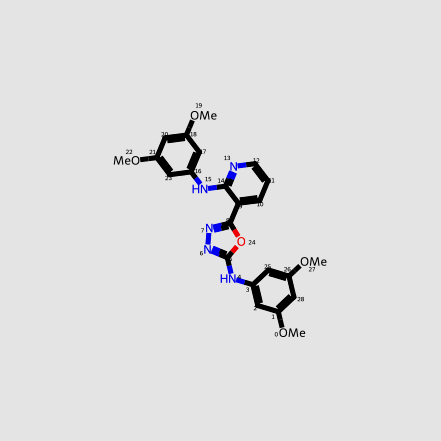 COc1cc(Nc2nnc(-c3cccnc3Nc3cc(OC)cc(OC)c3)o2)cc(OC)c1